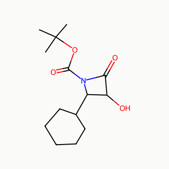 CC(C)(C)OC(=O)N1C(=O)C(O)C1C1CCCCC1